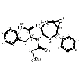 CC(C)(C)OC(=O)N([C@@H]1CNC2OC2[C@H](c2ccccc2)S1)[C@@H](Cc1ccccc1)C(N)=O